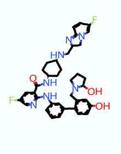 O=C(N[C@H]1CC[C@@H](NCC2CN3C=C(F)C=CC3=N2)CC1)c1cc(F)cnc1Nc1cccc(-c2ccc(O)cc2CN2CCCC2O)c1